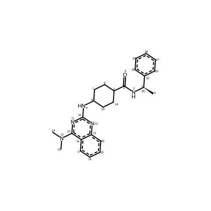 C[C@@H](NC(=O)C1CCC(Nc2nc(N(C)C)c3ccccc3n2)CC1)c1ccccc1